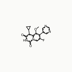 COc1c(-c2cncnc2)c(F)cn2c(=O)[nH]c(=O)c(C3CC3)c12